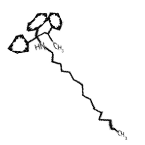 CCCCCCCCCCCCCCCNC(c1ccccc1)(c1ccccc1)C(C)c1ccccc1